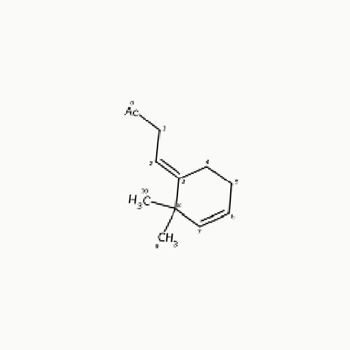 CC(=O)CC=C1CCC=CC1(C)C